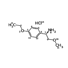 CCOc1ccc([C@@H](N)COC)cc1.Cl